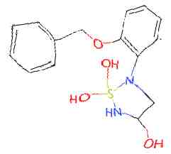 OC1CN(c2[c]cccc2OCc2ccccc2)S(O)(O)N1